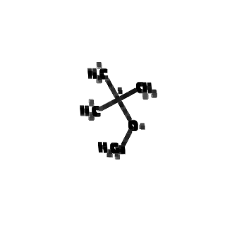 CC(C)(C)[O][GaH2]